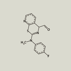 CN(C1=NC(C=O)c2cccnc2S1)c1ccc(F)cc1